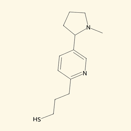 CN1CCCC1c1ccc(CCCS)nc1